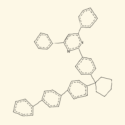 c1ccc(-c2ccc(-c3ccc(C4(c5ccc(-c6nc(-c7ccccc7)cc(-c7ccccc7)n6)cc5)CCCCC4)cc3)cc2)cc1